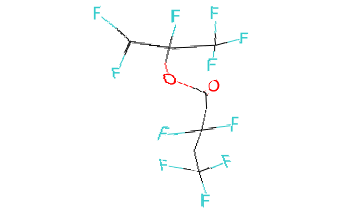 O=C(OC(F)(C(F)F)C(F)(F)F)C(F)(F)C(F)(F)F